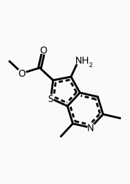 COC(=O)c1sc2c(C)nc(C)cc2c1N